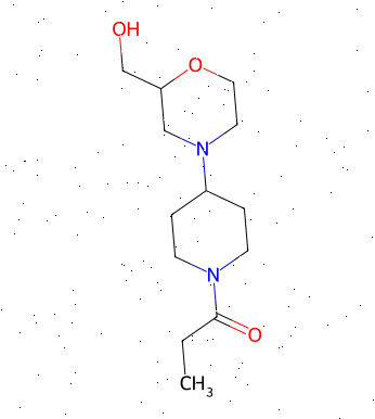 CCC(=O)N1CCC(N2CCOC(CO)C2)CC1